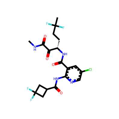 CNC(=O)C(=O)[C@H](CCC(C)(F)F)NC(=O)c1cc(Cl)cnc1NC(=O)C1CC(F)(F)C1